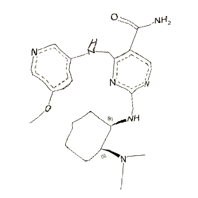 COc1cncc(Nc2nc(N[C@@H]3CCCC[C@@H]3N(C)C)ncc2C(N)=O)c1